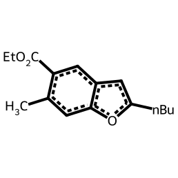 CCCCc1cc2cc(C(=O)OCC)c(C)cc2o1